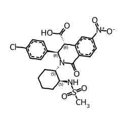 CS(=O)(=O)N[C@H]1CCCC[C@@H]1N1C(=O)c2ccc([N+](=O)[O-])cc2[C@@H](C(=O)O)[C@@H]1c1ccc(Cl)cc1